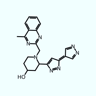 Cc1nc(CN2CCC(O)CC2C2=CC(=C3C=NN=C3)N=N2)nc2ccccc12